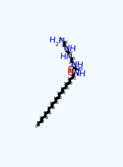 CCC=CCC=CCC=CCC=CCC=CCC=CCCC(=O)N[C@@H](C)C(=O)NCCNCCNCCN